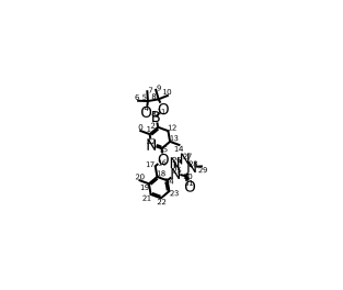 CC1=C(B2OC(C)(C)C(C)(C)O2)CC(C)C(OCc2c(C)cccc2-n2nnn(C)c2=O)=N1